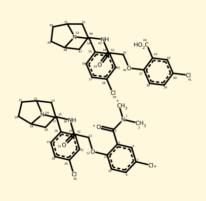 CN(C)C(=O)c1cc(Cl)ccc1OCC(=O)NC1CC2CCC(C1)N2Cc1ccc(Cl)cc1.O=C(COc1ccc(Cl)cc1C(=O)O)NC1CC2CCC(C1)N2Cc1ccc(Cl)cc1